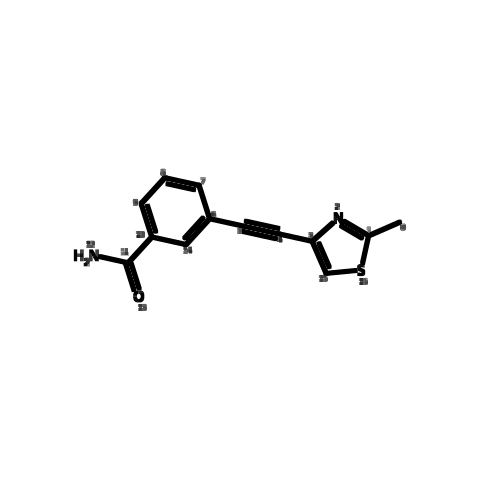 Cc1nc(C#Cc2cccc(C(N)=O)c2)cs1